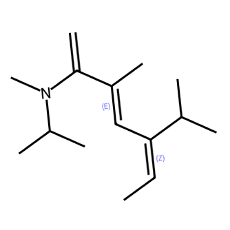 C=C(/C(C)=C/C(=C\C)C(C)C)N(C)C(C)C